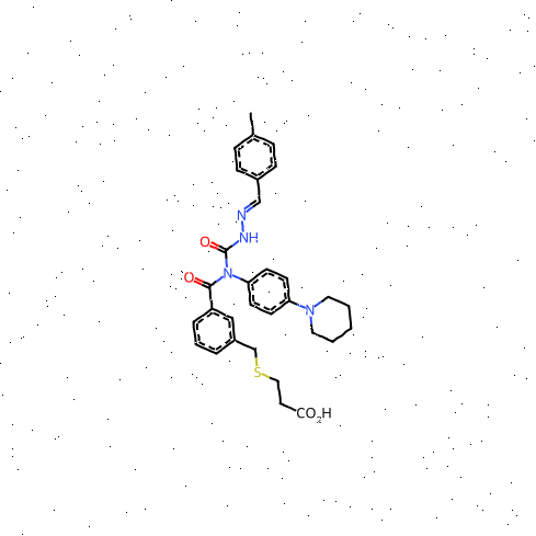 Cc1ccc(C=NNC(=O)N(C(=O)c2cccc(CSCCC(=O)O)c2)c2ccc(N3CCCCC3)cc2)cc1